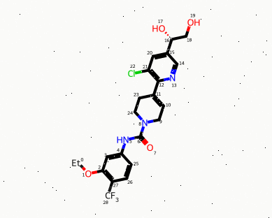 CCOc1cc(NC(=O)N2CC=C(c3ncc([C@H](O)CO)cc3Cl)CC2)ccc1C(F)(F)F